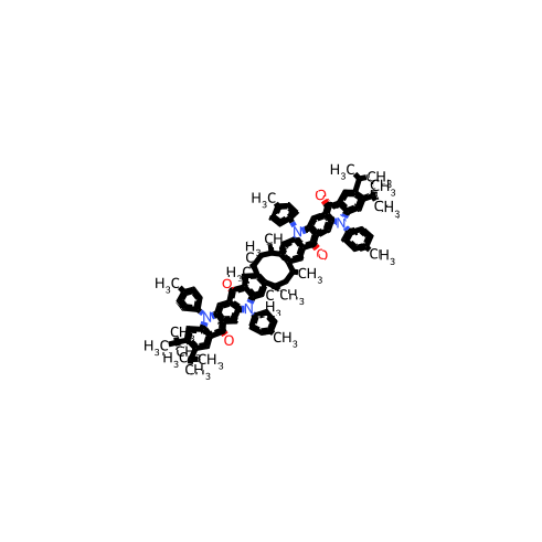 Cc1ccc(-n2c3cc(C(C)C)c(C(C)C)cc3c(=O)c3cc4c(cc32)c(=O)c2cc3c(cc2n4-c2ccc(C)cc2)C(C)CC(C)(C)c2cc4c(=O)c5cc6c(cc5n(-c5ccc(C)cc5)c4cc2C(C)(C)CC3C)c(=O)c2cc(C(C)(C)C)c(C(C)(C)C)cc2n6-c2ccc(C)cc2)cc1